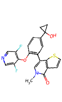 Cn1cc(-c2cc(C3(O)CC3)ccc2Oc2c(F)cncc2F)c2sccc2c1=O